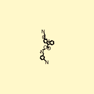 CN(CCOC(=O)c1c2ccccc2n2cc(OCC#N)ccc12)Cc1cccc(C#N)c1